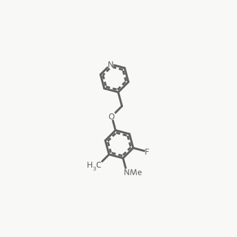 CNc1c(C)cc(OCc2ccncc2)cc1F